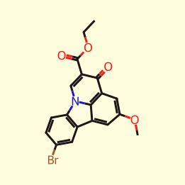 CCOC(=O)c1cn2c3ccc(Br)cc3c3cc(OC)cc(c1=O)c32